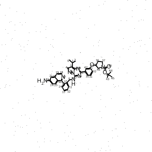 CC(C)c1cnn2c(NCc3ccccc3-c3nccc4cc(N)ccc34)nc(-c3cccc(OC4CCN(C(=O)OC(C)(C)C)C4)c3)nc12